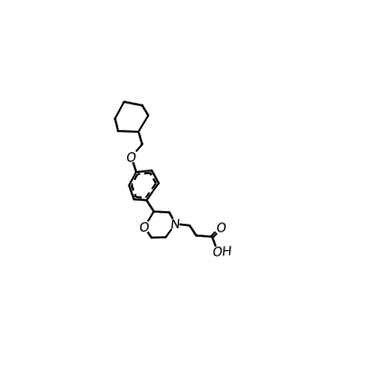 O=C(O)CCN1CCOC(c2ccc(OCC3CCCCC3)cc2)C1